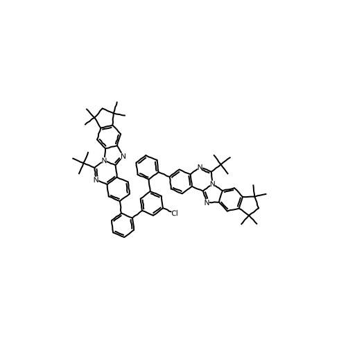 CC(C)(C)c1nc2cc(-c3ccccc3-c3cc(Cl)cc(-c4ccccc4-c4ccc5c(c4)nc(C(C)(C)C)n4c6cc7c(cc6nc54)C(C)(C)CC7(C)C)c3)ccc2c2nc3cc4c(cc3n12)C(C)(C)CC4(C)C